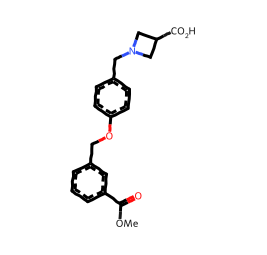 COC(=O)c1cccc(COc2ccc(CN3CC(C(=O)O)C3)cc2)c1